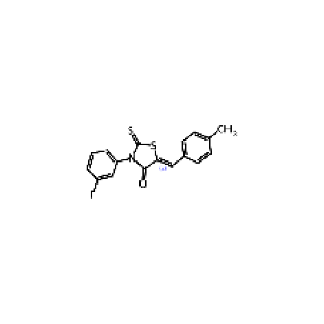 Cc1ccc(/C=C2\SC(=S)N(c3cccc(F)c3)C2=O)cc1